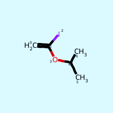 C=C(I)OC(C)C